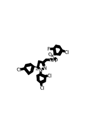 O=S(=O)(NCC1=NN(c2ccc(Cl)cc2Cl)[C@@H](c2ccc(Cl)cc2)C1)c1cc(Cl)ccc1F